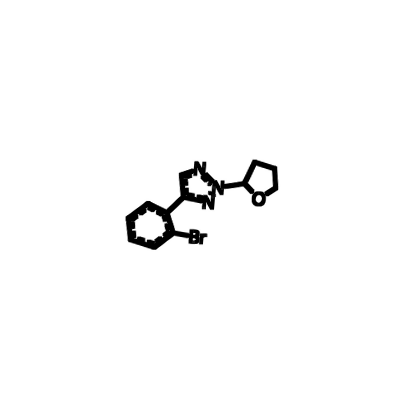 Brc1ccccc1-c1cnn(C2CCCO2)n1